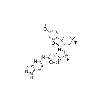 COc1ccc(C2(C(=O)N3C[C@H](F)[C@@H](O)[C@@H]3CC(=O)Nc3ccc4[nH]ncc4n3)CCC(F)(F)CC2)cc1